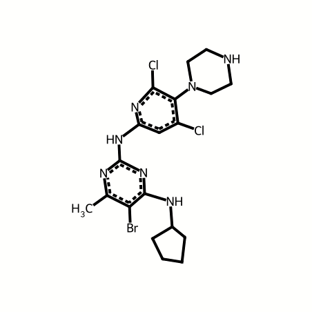 Cc1nc(Nc2cc(Cl)c(N3CCNCC3)c(Cl)n2)nc(NC2CCCC2)c1Br